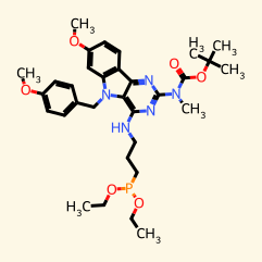 CCOP(CCCNc1nc(N(C)C(=O)OC(C)(C)C)nc2c3ccc(OC)cc3n(Cc3ccc(OC)cc3)c12)OCC